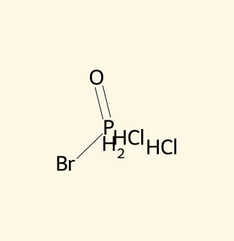 Cl.Cl.O=[PH2]Br